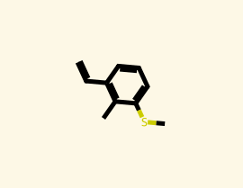 C=Cc1cccc(SC)c1C